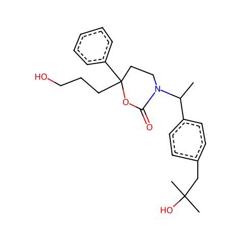 CC(c1ccc(CC(C)(C)O)cc1)N1CCC(CCCO)(c2ccccc2)OC1=O